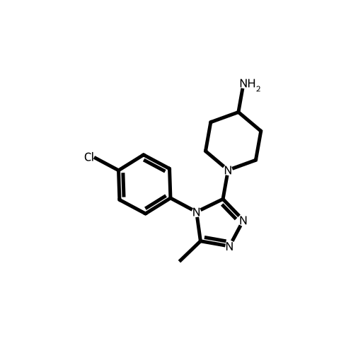 Cc1nnc(N2CCC(N)CC2)n1-c1ccc(Cl)cc1